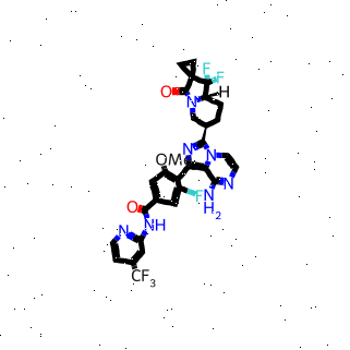 COc1cc(C(=O)Nc2cc(C(F)(F)F)ccn2)cc(F)c1-c1nc([C@@H]2CC[C@@H]3N(C2)C(=O)C2(CC2)C3(F)F)n2ccnc(N)c12